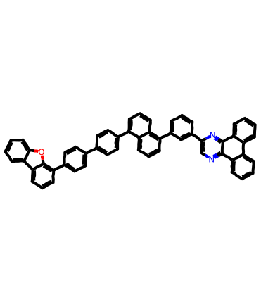 c1cc(-c2cnc3c4ccccc4c4ccccc4c3n2)cc(-c2cccc3c(-c4ccc(-c5ccc(-c6cccc7c6oc6ccccc67)cc5)cc4)cccc23)c1